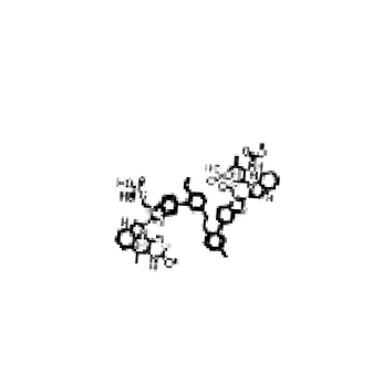 CCc1ccc(CCc2ccc(C)cc2-c2ccc3c(c2)nc([C@@H]2C[C@@H]4CCCC[C@@H]4N2C(=O)[C@@H](NC(=O)OC)C(C)C)n3COP(=O)(O)O)cc1-c1ccc2c(c1)nc([C@@H]1C[C@@H]3CCCC4C(C)[C@H](NC(=O)OC)C(=O)N1[C@@H]43)n2COP(=O)(O)O